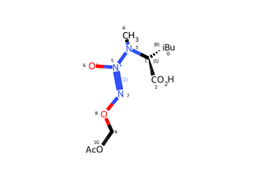 CC[C@@H](C)[C@@H](C(=O)O)N(C)/[N+]([O-])=N/OCOC(C)=O